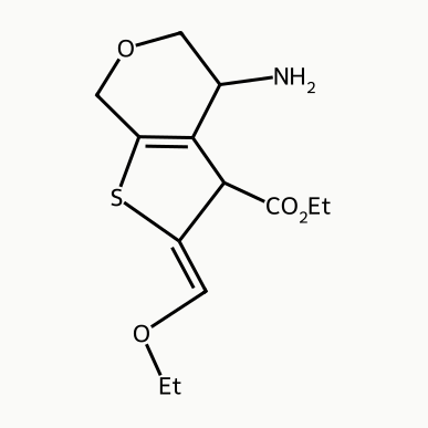 CCOC=C1SC2=C(C(N)COC2)C1C(=O)OCC